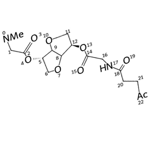 CNCC(=O)O[C@H]1COC2C1OC[C@H]2OC(=O)CNC(=O)CCC(C)=O